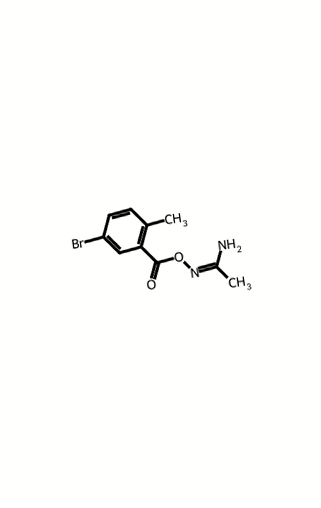 C/C(N)=N/OC(=O)c1cc(Br)ccc1C